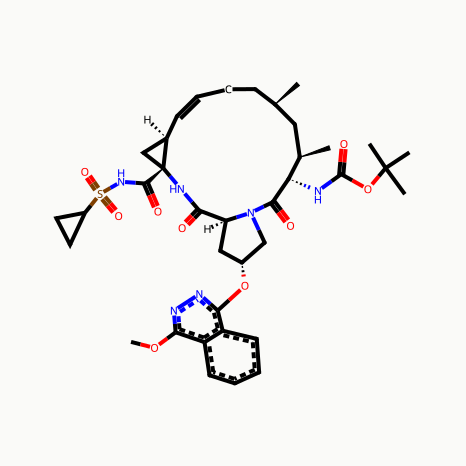 COc1nnc(O[C@@H]2C[C@H]3C(=O)N[C@]4(C(=O)NS(=O)(=O)C5CC5)C[C@H]4/C=C\CC[C@@H](C)C[C@@H](C)[C@H](NC(=O)OC(C)(C)C)C(=O)N3C2)c2ccccc12